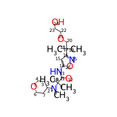 CN(C1CCOCC1)C(C)(C)C(=O)Nc1cc(C(C)(C)COCCO)no1